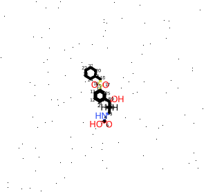 [2H]C([2H])(CNC(=O)O)C(O)c1cccc(S(=O)(=O)CC2CCCCC2)c1